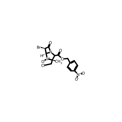 C[C@]1(CCl)C(C(=O)OCc2ccc([N+](=O)[O-])cc2)N2C(=O)[C@H](Br)[C@@H]2[S+]1[O-]